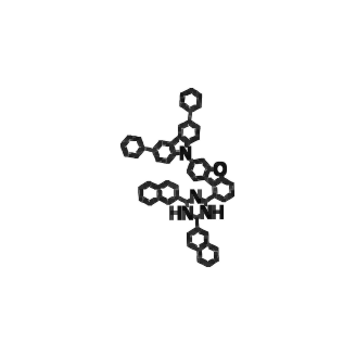 c1ccc(-c2ccc3c(c2)c2cc(-c4ccccc4)ccc2n3-c2ccc3c(c2)oc2cccc(C4=NC(c5ccc6ccccc6c5)NC(c5ccc6ccccc6c5)N4)c23)cc1